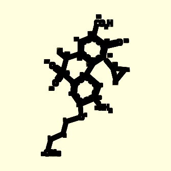 COCCCOc1cc2c(cc1N)-c1c(cc(C(=O)O)c(=O)n1C1CC1)C(C)S2(=O)=O